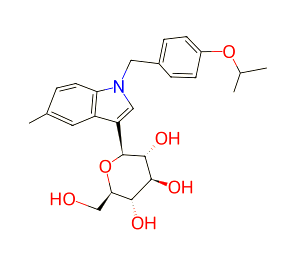 Cc1ccc2c(c1)c([C@@H]1O[C@H](CO)[C@@H](O)[C@H](O)[C@H]1O)cn2Cc1ccc(OC(C)C)cc1